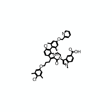 Cc1cc(OCCCc2c3n(c4c(-c5c(C)cc(OCc6ccccn6)cc5C)c(Cl)ccc24)[C@H](C)CN(c2cn(C)c4ccc(C(=O)O)cc24)C3=O)cc(C)c1Cl